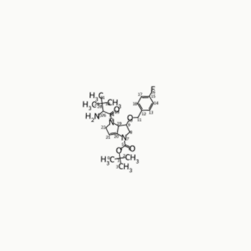 CC(C)(C)OC(=O)N1CC(OCc2ccc(F)cc2)C2C1=CCN2C(=O)C(N)C(C)(C)C